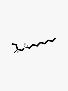 CCCCCCCC[SiH2]C[C@@H](C)CC